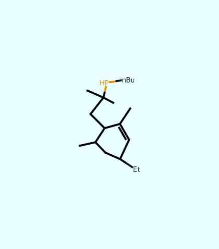 CCCCPC(C)(C)CC1C(C)=CC(CC)CC1C